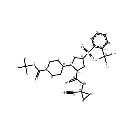 CC(C)(C)OC(=O)N1CCC(N2CC(S(=O)(=O)c3ccccc3C(F)(F)F)CC2C(=O)NC2(C#N)CC2)CC1